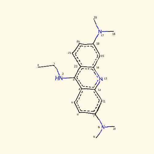 [CH2]CNc1c2ccc(N(C)C)cc2nc2cc(N(C)C)ccc12